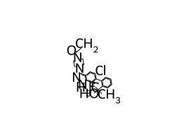 C=CC(=O)N1CCN(c2ncnc3c(F)c(-c4ccccc4C(C)(C)O)c(Cl)cc23)CC1